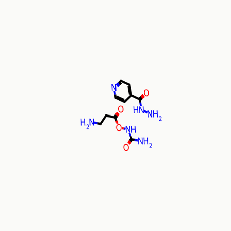 NCCC(=O)ONC(N)=O.NNC(=O)c1ccncc1